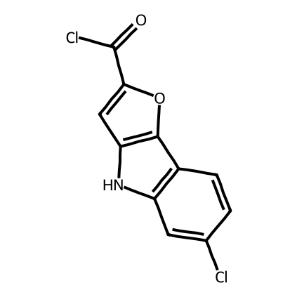 O=C(Cl)c1cc2[nH]c3cc(Cl)ccc3c2o1